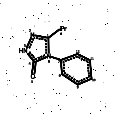 CC(C)c1n[nH]c(=O)n1-c1ccccc1